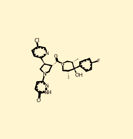 C[C@@H]1CN(C(=O)[C@@H]2CN(c3ccc(=O)[nH]n3)C[C@H]2c2ccc(Cl)cn2)C[C@H](C)[C@]1(O)c1ccc(F)cc1